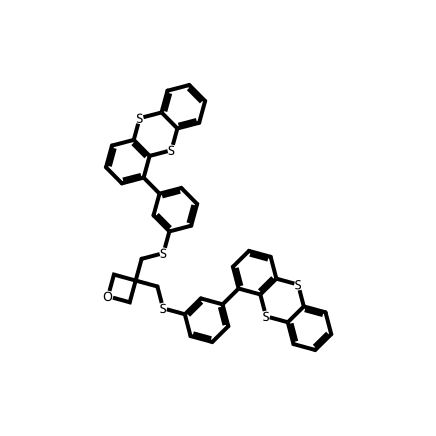 c1cc(SCC2(CSc3cccc(-c4cccc5c4Sc4ccccc4S5)c3)COC2)cc(-c2cccc3c2Sc2ccccc2S3)c1